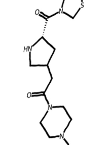 CN1CCN(C(=O)CC2CN[C@H](C(=O)N3CCSC3)C2)CC1